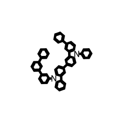 c1ccc(-c2cccc(-c3cccc(-n4c5ccccc5c5cc(-c6ccc7c(c6)c6cc(-c8ccccc8)ccc6n7-c6ccccc6)ccc54)c3)c2)cc1